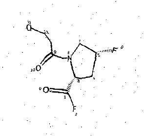 O=C(F)[C@H]1C[C@@H](F)CN1C(=O)CCl